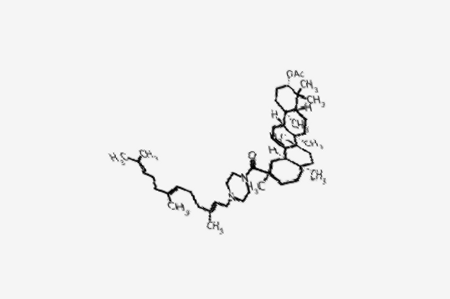 CC(=O)O[C@H]1CC[C@]2(C)[C@H]3CC=C4[C@@H]5C[C@@](C)(C(=O)N6CCN(C/C=C(\C)CC/C=C(\C)CCC=C(C)C)CC6)CC[C@]5(C)CC[C@@]4(C)[C@]3(C)CC[C@H]2C1(C)C